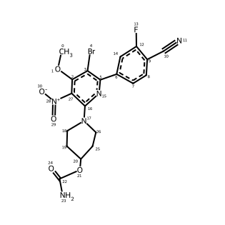 COc1c(Br)c(-c2ccc(C#N)c(F)c2)nc(N2CCC(OC(N)=O)CC2)c1[N+](=O)[O-]